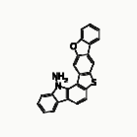 Nn1c2ccccc2c2ccc3sc4cc5c(cc4c3c21)oc1ccccc15